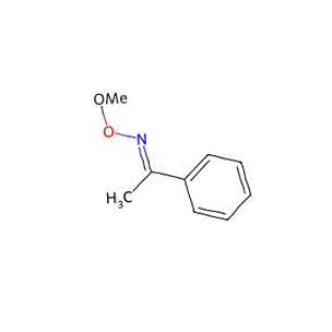 COO/N=C(\C)c1ccccc1